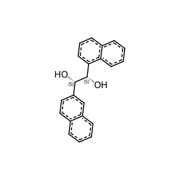 O[C@@H](c1ccc2ccccc2c1)[C@@H](O)c1cccc2ccccc12